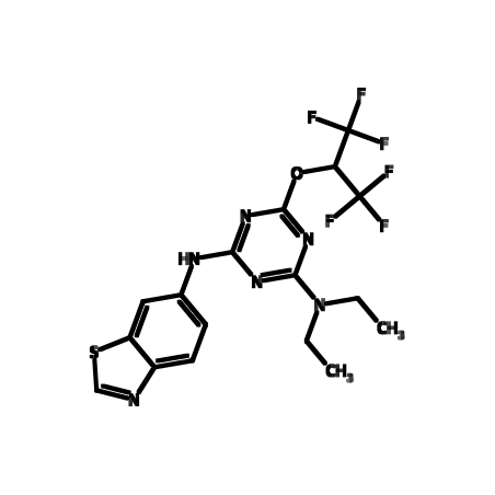 CCN(CC)c1nc(Nc2ccc3ncsc3c2)nc(OC(C(F)(F)F)C(F)(F)F)n1